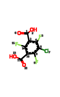 O=C(O)c1c(F)c(Cl)c(F)c(C(=O)O)c1F